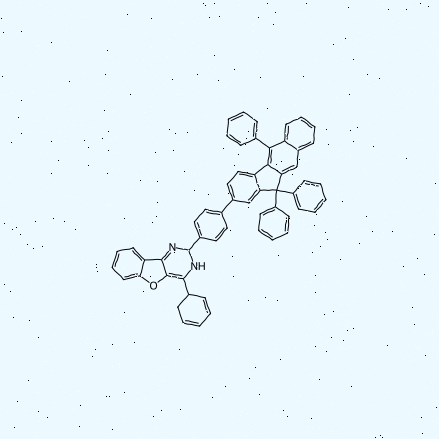 C1=CCC(C2=c3oc4ccccc4c3=NC(c3ccc(-c4ccc5c(c4)C(c4ccccc4)(c4ccccc4)c4cc6ccccc6c(-c6ccccc6)c4-5)cc3)N2)C=C1